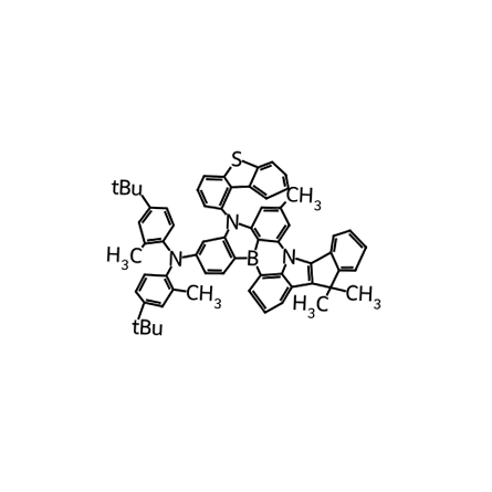 Cc1cc2c3c(c1)-n1c4c(c5cccc(c51)B3c1ccc(N(c3ccc(C(C)(C)C)cc3C)c3ccc(C(C)(C)C)cc3C)cc1N2c1cccc2sc3ccccc3c12)C(C)(C)c1ccccc1-4